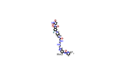 COc1cc2nn(CCNCCNCC(=O)N3CCC4(CC3)CCN(c3cc5c(cc3F)C(=O)N(C3CCC(=O)NC3=O)C5=O)CC4)cc2cc1NC(=O)c1cccc(C(F)(F)F)n1